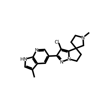 Cc1c[nH]c2ncc(-c3nn4c(c3Cl)C3(CCN(C)C3)CC4)cc12